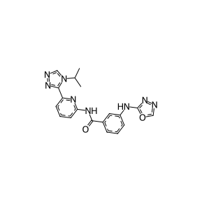 CC(C)n1cnnc1-c1cccc(NC(=O)c2cccc(Nc3nnco3)c2)n1